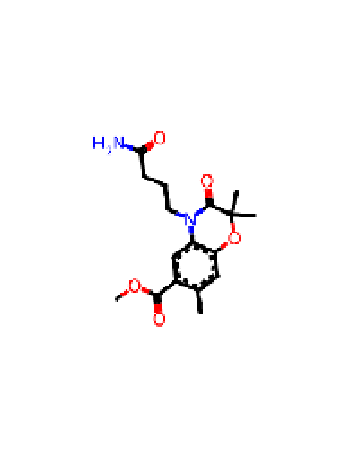 COC(=O)c1cc2c(cc1C)OC(C)(C)C(=O)N2CCCC(N)=O